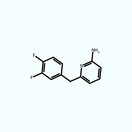 Nc1cccc(Cc2ccc(F)c(F)c2)n1